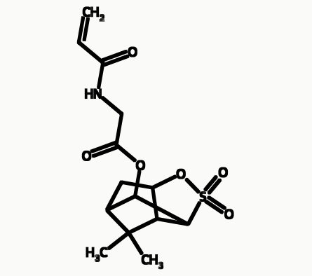 C=CC(=O)NCC(=O)OC1C2CC3OS(=O)(=O)C1C3C2(C)C